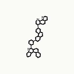 c1cc(-c2ccc3ccc4cc(-c5ccnc6c5ccc5cccnc56)ccc4c3c2)cc(-c2nc3ccccc3c3c2ccc2ccccc23)c1